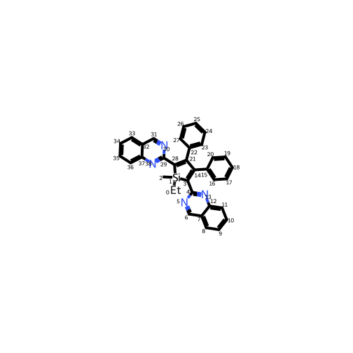 CC[Si]1(C)C(c2ncc3ccccc3n2)=C(c2ccccc2)C(c2ccccc2)=C1c1ncc2ccccc2n1